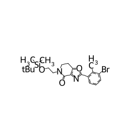 Cc1c(Br)cccc1-c1nc2c(o1)CCN(CCO[Si](C)(C)C(C)(C)C)C2=O